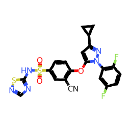 N#Cc1cc(S(=O)(=O)Nc2ncns2)ccc1Oc1cc(C2CC2)nn1-c1cc(F)ccc1F